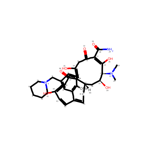 COc1ccc(CN2CCCCC2)cc1C1=C\C[C@H]2C[C@H](O)[C@H](N(C)C)/C(O)=C(/C(N)=O)C(=O)C/C(O)=C\2C(=O)/C=C(O)/C=C\1